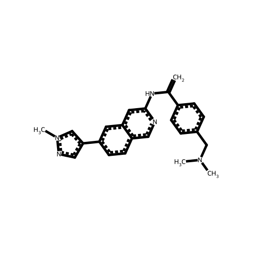 C=C(Nc1cc2cc(-c3cnn(C)c3)ccc2cn1)c1ccc(CN(C)C)cc1